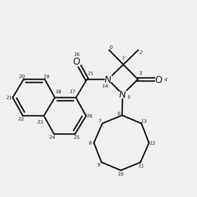 CC1(C)C(=O)N(C2CCCCCCC2)N1C(=O)C1=C2C=CC=CC2CC=C1